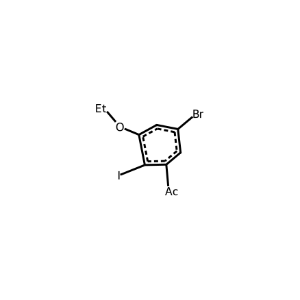 CCOc1cc(Br)cc(C(C)=O)c1I